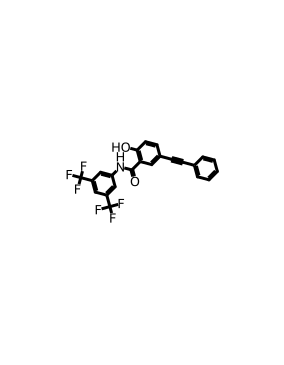 O=C(Nc1cc(C(F)(F)F)cc(C(F)(F)F)c1)c1cc(C#Cc2ccccc2)ccc1O